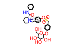 C[N+]1(Cc2ccc(OS(=O)(=O)Cc3ccc(O[C@@H]4O[C@H](CO)[C@H](O)[C@H](O)[C@H]4O)cc3)cc2)CCCC[C@@H]1C(=O)Nc1ccccc1